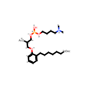 CCCCCCCCCCCCCCCCc1ccccc1OCC(COP(O)OCCCCN(C)C)OC(C)=O